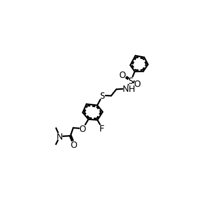 CN(C)C(=O)COc1ccc(SCCNS(=O)(=O)c2ccccc2)cc1F